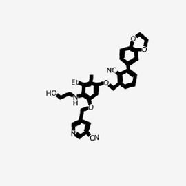 CCc1c(C)c(OCc2cccc(-c3ccc4c(c3)OCCO4)c2C#N)cc(OCc2cncc(C#N)c2)c1NCCO